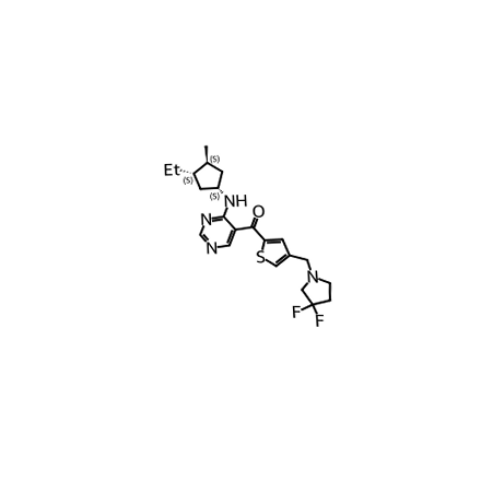 CC[C@H]1C[C@@H](Nc2ncncc2C(=O)c2cc(CN3CCC(F)(F)C3)cs2)C[C@@H]1C